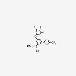 CC(C)CC(C(=O)O)c1cc(Oc2cc(F)c(F)c(F)c2)cc(-c2ccc(C(F)(F)F)cc2)c1